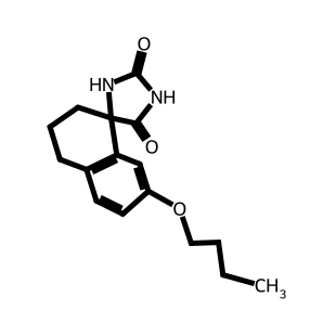 CCCCOc1ccc2c(c1)C1(CCC2)NC(=O)NC1=O